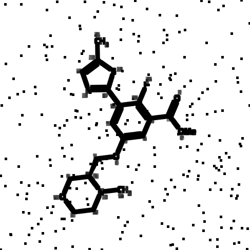 COC(=O)c1cc(OC[C@@H]2COCCN2C)cc(-c2ncc(C)s2)c1F